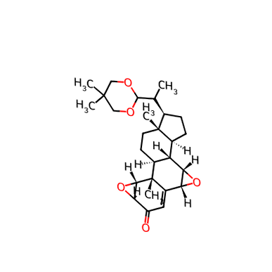 CC(C1OCC(C)(C)CO1)[C@H]1CC[C@H]2[C@@H]3[C@@H]4O[C@@H]4C4=CC(=O)[C@@H]5O[C@@H]5[C@]4(C)[C@H]3CC[C@]12C